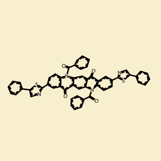 O=C(c1ccccc1)n1c2ccc(-c3ncc(-c4ccccc4)s3)cc2c(=O)c2cc3c(cc21)c(=O)c1cc(-c2ncc(-c4ccccc4)s2)ccc1n3C(=O)c1ccccc1